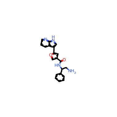 NCC(NC(=O)c1coc(-c2c[nH]c3ncccc23)c1)c1ccccc1